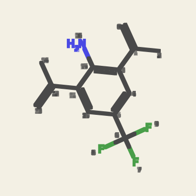 C=C(C)c1cc(C(F)(F)F)cc(C(=C)C)c1N